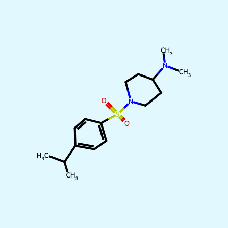 CC(C)c1ccc(S(=O)(=O)N2CCC(N(C)C)CC2)cc1